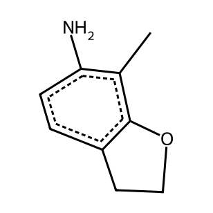 Cc1c(N)ccc2c1OCC2